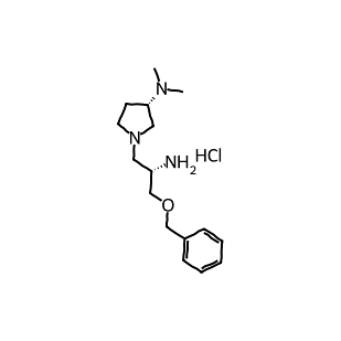 CN(C)[C@H]1CCN(C[C@H](N)COCc2ccccc2)C1.Cl